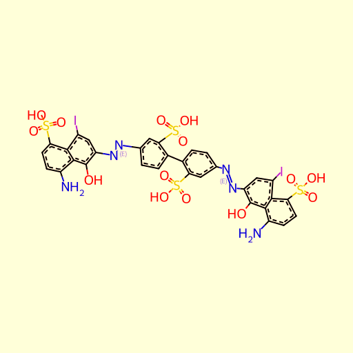 Nc1ccc(S(=O)(=O)O)c2c(I)cc(/N=N/c3ccc(-c4ccc(/N=N/c5cc(I)c6c(S(=O)(=O)O)ccc(N)c6c5O)cc4S(=O)(=O)O)c(S(=O)(=O)O)c3)c(O)c12